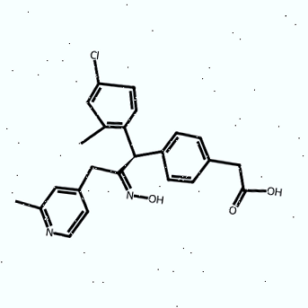 Cc1cc(CC(=NO)[C@H](c2ccc(CC(=O)O)cc2)c2ccc(Cl)cc2C)ccn1